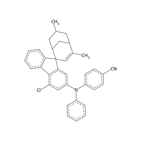 CC1=CC2(c3ccccc3-c3c(Cl)cc(N(c4ccccc4)c4ccc(C#N)cc4)cc32)C2CC(C)CC1C2